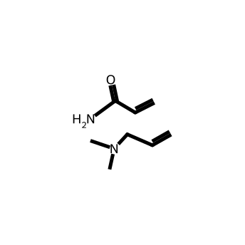 C=CC(N)=O.C=CCN(C)C